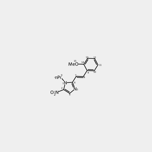 CC[CH]n1c([N+](=O)[O-])cnc1C=Cc1ccccc1OC